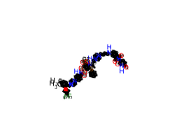 CC1(C)CCC(CN2CCN(c3ccc(C(=O)NS(=O)(=O)c4ccc(N[C@H](CCN5CCN(CCCCNc6ccc7c(c6)C(=O)N(C6CCC(=O)NC6=O)C7=O)CC5)CSc5ccccc5)c(S(=O)(=O)C(F)(F)F)c4)cc3)CC2)=C(C23CC(C(F)F)(C2)C3)C1